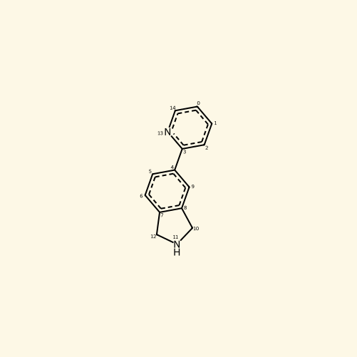 c1ccc(-c2ccc3c(c2)CNC3)nc1